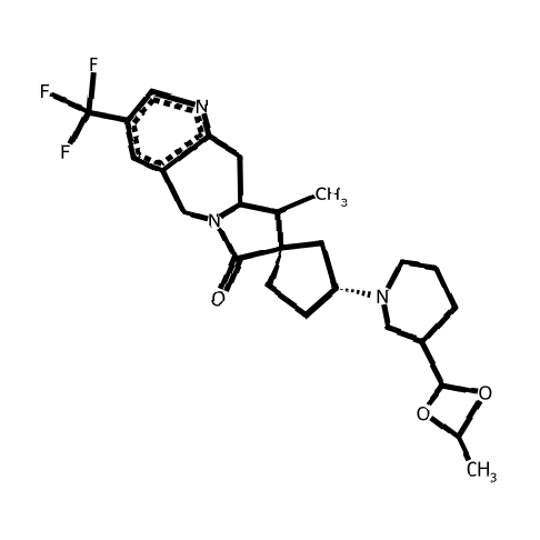 CC1OC(C2CCCN([C@@H]3CC[C@@]4(C3)C(=O)N3Cc5cc(C(F)(F)F)cnc5CC3C4C)C2)O1